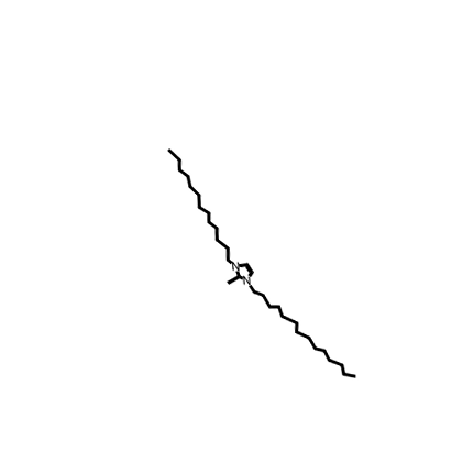 CCCCCCCCCCCCCCN1C=CN(CCCCCCCCCCCCC)C1C